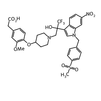 COc1cc(CC(=O)O)ccc1OC1CCN(CC(O)(c2cn(Cc3ccc(S(C)(=O)=O)cc3)c3cc([N+](=O)[O-])ccc23)C(F)(F)F)CC1